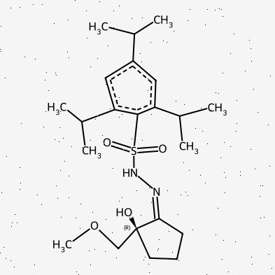 COC[C@@]1(O)CCCC1=NNS(=O)(=O)c1c(C(C)C)cc(C(C)C)cc1C(C)C